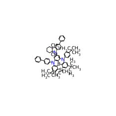 CC(C)(C)c1ccc(N2c3cc(N4c5ccc(-c6ccccc6)cc5C5(C)CCCCC45C)cc4c3B3c5c(cc(C(C)(C)C)cc5[Si](C)(C)c5cc(C(C)(C)C)cc2c53)N4c2ccc(-c3ccccc3)cc2)cc1